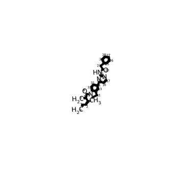 C=C/C=C(/C)C(=C)C(=O)N1CCc2cc(-c3ccnc(NC(=O)Cc4ccccc4)n3)ccc21